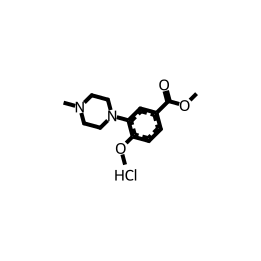 COC(=O)c1ccc(OC)c(N2CCN(C)CC2)c1.Cl